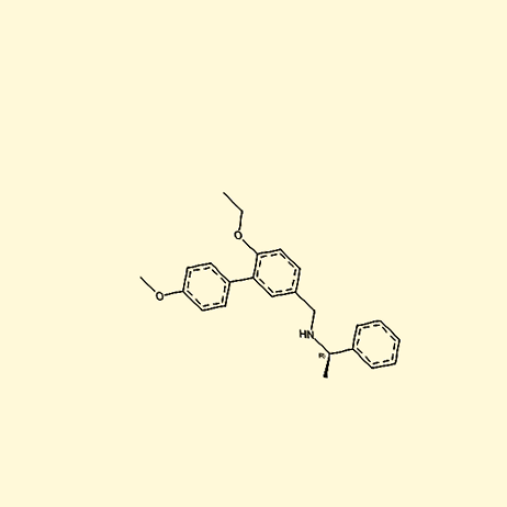 CCOc1ccc(CN[C@H](C)c2ccccc2)cc1-c1ccc(OC)cc1